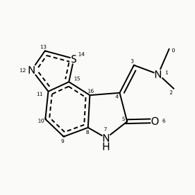 CN(C)C=C1C(=O)Nc2ccc3ncsc3c21